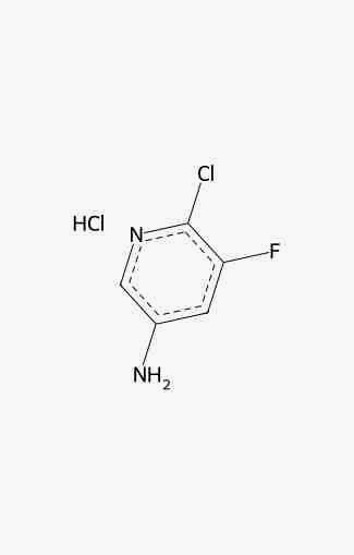 Cl.Nc1cnc(Cl)c(F)c1